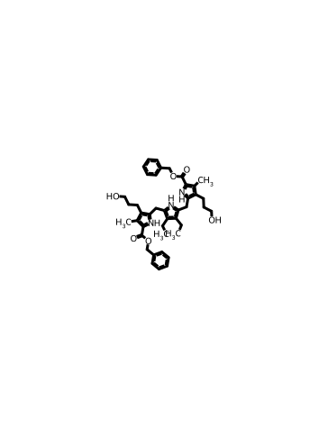 CCc1c(Cc2[nH]c(C(=O)OCc3ccccc3)c(C)c2CCCO)[nH]c(Cc2[nH]c(C(=O)OCc3ccccc3)c(C)c2CCCO)c1CC